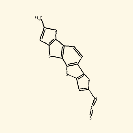 Cc1cc2sc3c(ccc4c5sc(N=C=S)cc5sc43)c2s1